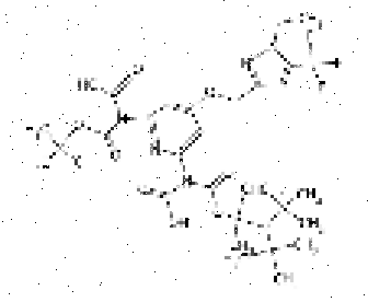 CCn1nc(COc2cc(N(C(=O)O)C(=O)OC(C)(C)C)nc(N(C(=O)O)C(=O)OC(C)(C)C(C(C)(C)C)C(C)(C)C)c2)cc1C(F)(F)F